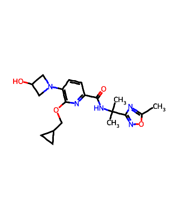 Cc1nc(C(C)(C)NC(=O)c2ccc(N3CC(O)C3)c(OCC3CC3)n2)no1